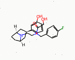 O=C(CO)N(CCN1[C@@H]2CC[C@H]1C[C@@H](c1cccc(O)c1)C2)Cc1ccc(F)cc1